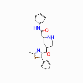 Cc1nc(C(=O)C2CCNC(CC(=O)Nc3ccccc3)C2)c(-c2ccccc2)s1